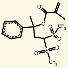 C=C(C)C(=O)OC(C)(CC(S(=O)(=O)C(F)(F)F)S(=O)(=O)C(F)(F)F)c1ccccc1